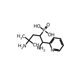 CC(C)(N)CC(C(N)c1ccccn1)P(=O)(O)O